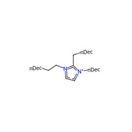 CCCCCCCCCCCCn1cc[n+](CCCCCCCCCC)c1CCCCCCCCCCC